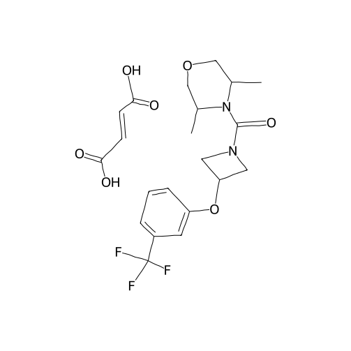 CC1COCC(C)N1C(=O)N1CC(Oc2cccc(C(F)(F)F)c2)C1.O=C(O)C=CC(=O)O